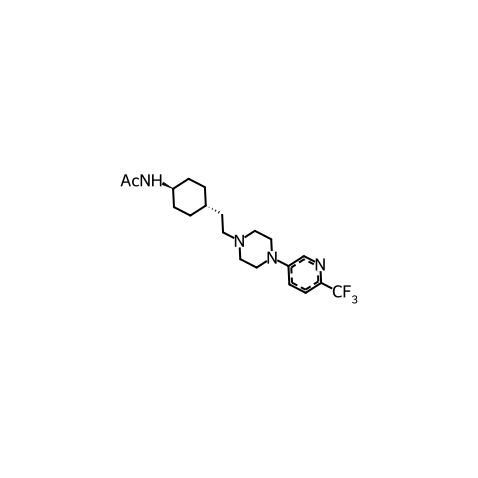 CC(=O)N[C@H]1CC[C@H](CCN2CCN(c3ccc(C(F)(F)F)nc3)CC2)CC1